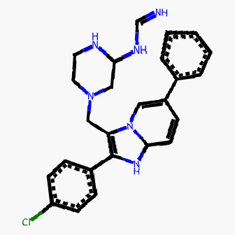 N=CNC1CN(CC2=C(c3ccc(Cl)cc3)NC3C=CC(c4ccccc4)=CN23)CCN1